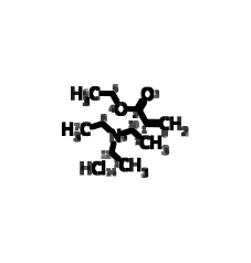 C=CC(=O)OCC.CCN(CC)CC.Cl